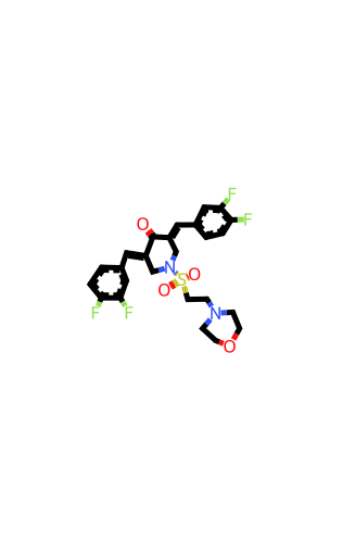 O=C1/C(=C/c2ccc(F)c(F)c2)CN(S(=O)(=O)CCN2CCOCC2)C/C1=C\c1ccc(F)c(F)c1